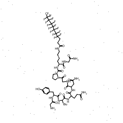 CCC(C)C(NC(=O)C(Cc1ccc(O)cc1)NC(=O)CN)C(=O)NC(CCC(N)=O)C(=O)NC(CC(N)=O)C(=O)NCC(=O)N1CCC[C@H]1C(=O)NC(CCCCNC(=O)CCC(F)(F)C(F)(F)C(F)(F)C(F)(F)C(F)(F)C(F)(F)C(F)(F)C(F)(F)F)C(=O)NCC(N)=O